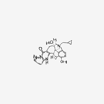 O=c1c2c([nH]c3ccnn13)[C@@H]1Oc3c(O)ccc4c3[C@@]13CCN(CC1CC1)[C@H](C4)[C@]3(O)C2